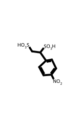 O=[N+]([O-])c1ccc(C(CS(=O)(=O)O)S(=O)(=O)O)cc1